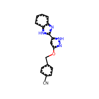 N#Cc1ccc(COc2cc(-c3nc4ccccc4[nH]3)[nH]n2)cc1